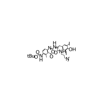 Cc1c(NC(=O)OC(C)(C)C)ccc2nc(N[C@@H](Cc3cc(I)c(O)c(I)c3)C(=O)NCCCN(C)C)oc(=O)c12